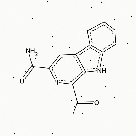 CC(=O)c1nc(C(N)=O)cc2c1[nH]c1ccccc12